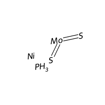 P.[Ni].[S]=[Mo]=[S]